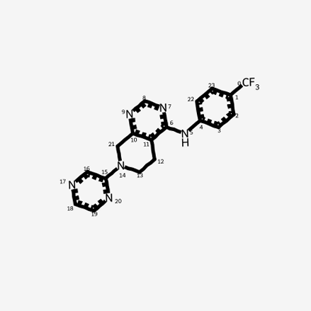 FC(F)(F)c1ccc(Nc2ncnc3c2CCN(c2cnccn2)C3)cc1